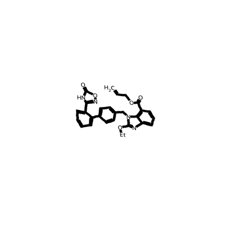 C=CCOC(=O)c1cccc2nc(OCC)n(Cc3ccc(-c4ccccc4-c4noc(=O)[nH]4)cc3)c12